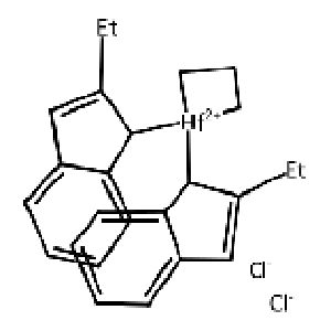 CCC1=Cc2ccccc2[CH]1[Hf+2]1([CH]2C(CC)=Cc3ccccc32)[CH2]C[CH2]1.[Cl-].[Cl-]